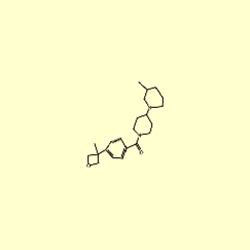 CC1CCCN(C2CCN(C(=O)c3ccc(C4(C)COC4)cc3)CC2)C1